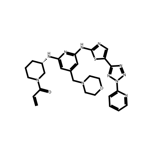 C=CC(=O)N1CCC[C@H](Nc2cc(CN3CCOCC3)cc(Nc3ncc(-c4nnn(-c5ccccn5)n4)s3)n2)C1